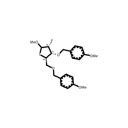 COc1ccc(COC[C@H]2SC(OC)[C@H](F)[C@@H]2OCc2ccc(OC)cc2)cc1